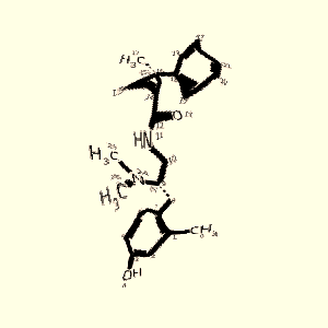 Cc1cc(O)ccc1C[C@@H](CNC(=O)C1=C[C@@]1(C)c1ccccc1)N(C)C